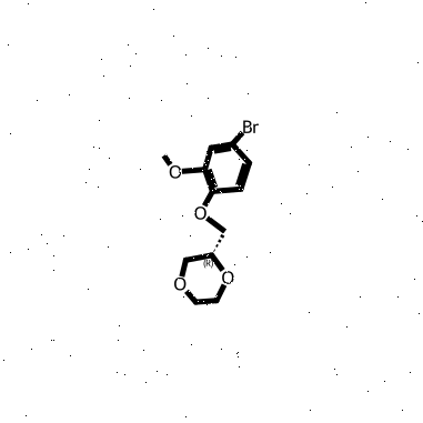 COc1cc(Br)ccc1OC[C@H]1COCCO1